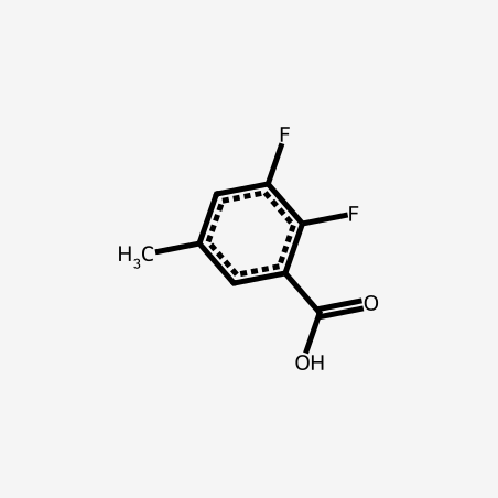 Cc1cc(F)c(F)c(C(=O)O)c1